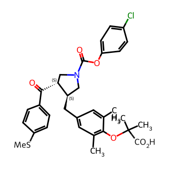 CSc1ccc(C(=O)[C@@H]2CN(C(=O)Oc3ccc(Cl)cc3)C[C@H]2Cc2cc(C)c(OC(C)(C)C(=O)O)c(C)c2)cc1